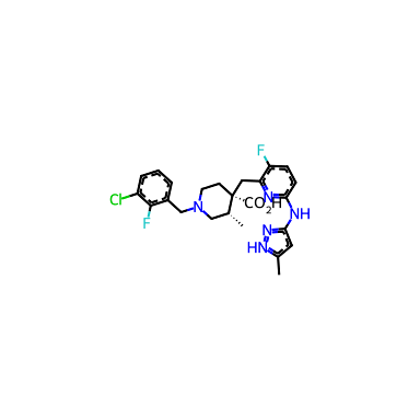 Cc1cc(Nc2ccc(F)c(C[C@]3(C(=O)O)CCN(Cc4cccc(Cl)c4F)C[C@H]3C)n2)n[nH]1